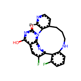 CC(C)c1nccc2c1-n1c(=O)nc(O)c3cc(F)c(nc31)-c1c(F)cccc1NCCC2